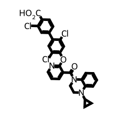 O=C(O)c1ccc(-c2cc(Cl)c(Oc3ncccc3C(=O)N3CCN(C4CC4)c4ccccc43)cc2Cl)cc1Cl